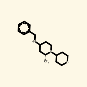 FC(F)(F)[C@@H]1CC(NCc2ccccc2)CCN1C1CCOCC1